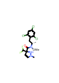 CON(C(=O)C1(C(F)F)C=CN(C)N1)[C@@H](C)Cc1c(Cl)cc(Cl)cc1Cl